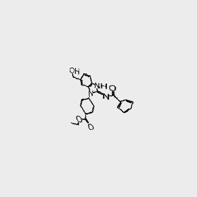 CCOC(=O)[C@H]1CC[C@@H](n2/c(=N/C(=O)c3ccccc3)[nH]c3ccc(CO)cc32)CC1